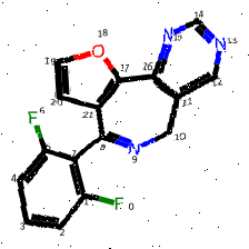 Fc1cccc(F)c1C1=NCc2cncnc2-c2occc21